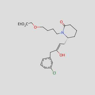 CCOC(=O)COCCCCN1C(=O)CCC[C@@H]1C/C=C(\O)Cc1cccc(Cl)c1